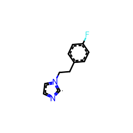 Fc1ccc(CCn2[c]ncc2)cc1